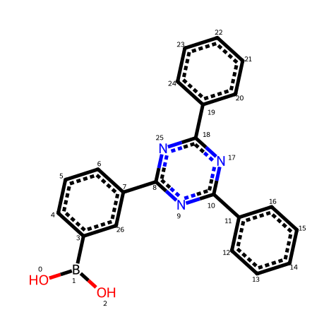 OB(O)c1cccc(-c2nc(-c3ccccc3)nc(-c3ccccc3)n2)c1